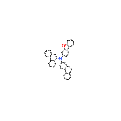 c1ccc2c(c1)ccc1cc(N(c3ccc4c(c3)oc3ccccc34)c3cc4ccccc4c4ccccc34)ccc12